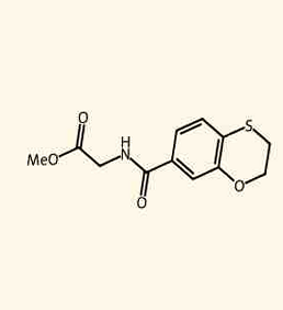 COC(=O)CNC(=O)c1ccc2c(c1)OCCS2